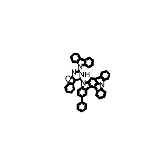 c1ccc(-c2ccc3c(c2)c2c4c5ccccc5n5c6ccccc6c(cc2n3C2NC(n3c6ccccc6c6ccccc63)=Nc3oc6ccccc6c32)c45)cc1